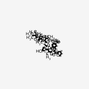 CC[C@H](C)[C@@H]([C@@H](CC(=O)N1CCC[C@H]1[C@H](OC)[C@@H](C)C(=O)N[C@@H](Cc1ccc(O)c([N+](=O)[O-])c1)C(=O)N1CCCCO1)OC)N(C)[C@H](C(=O)NC(=O)[C@@H](NC)C(C)C)C(C)C.Cl